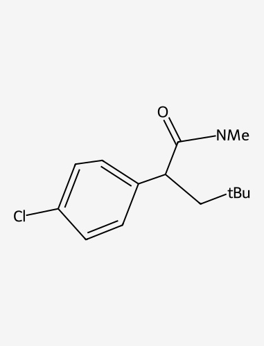 CNC(=O)C(CC(C)(C)C)c1ccc(Cl)cc1